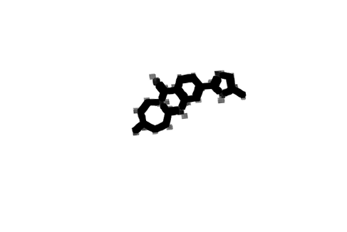 Cc1cnc(-c2ccc3c(=O)n4c(nc3c2)CCC(C)CC4)s1